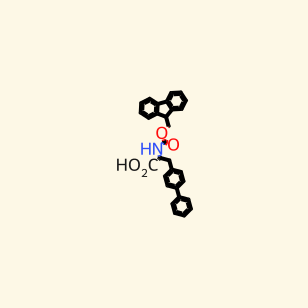 O=C(NC(Cc1ccc(-c2ccccc2)cc1)C(=O)O)OCC1c2ccccc2-c2ccccc21